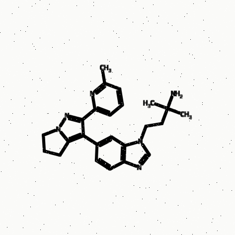 Cc1cccc(-c2nn3c(c2-c2ccc4ncn(CCC(C)(C)N)c4c2)CCC3)n1